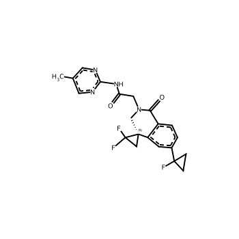 Cc1cnc(NC(=O)CN2C[C@@]3(CC3(F)F)c3cc(C4(F)CC4)ccc3C2=O)nc1